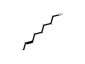 CC=CCCCCC[O]